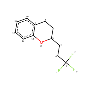 FC(F)(F)CCC1CCc2ccccc2O1